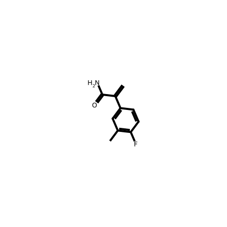 C=C(C(N)=O)c1ccc(F)c(C)c1